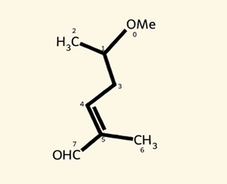 COC(C)CC=C(C)C=O